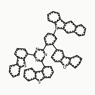 c1ccc2cc3c(cc2c1)c1ccccc1n3-c1ccc(-c2nc(-c3cccc4c3sc3ccccc34)nc(-c3cccc4sc5ccccc5c34)n2)c(-c2ccc3oc4ccccc4c3c2)c1